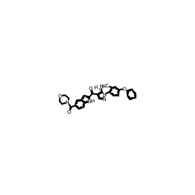 N#Cc1cc(Oc2ccccc2)ccc1-n1ncc(C(=O)c2cc3cc(C(=O)N4CCOCC4)ccc3[nH]2)c1N